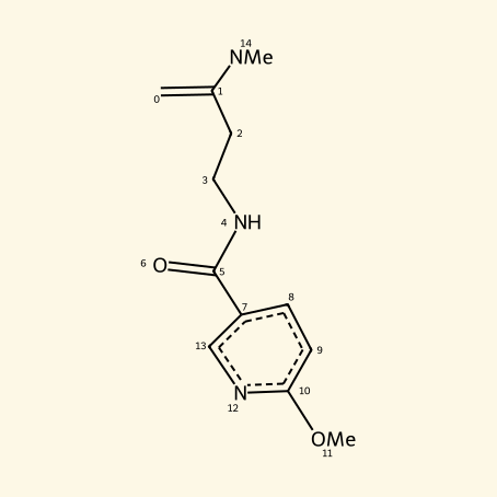 C=C(CCNC(=O)c1ccc(OC)nc1)NC